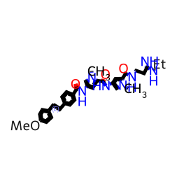 CCNC(=N)CCNC(=O)c1cc(NC(=O)c2cc(NC(=O)c3ccc(/C=C/c4ccc(OC)cc4)cc3)cn2C)cn1C